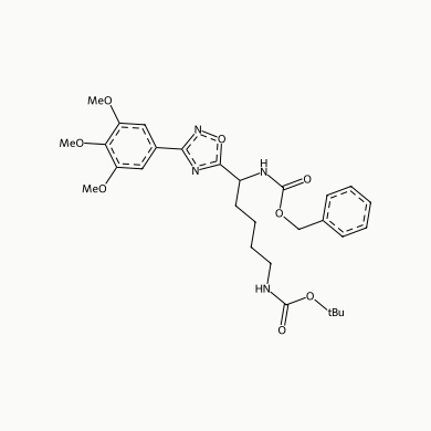 COc1cc(-c2noc(C(CCCCNC(=O)OC(C)(C)C)NC(=O)OCc3ccccc3)n2)cc(OC)c1OC